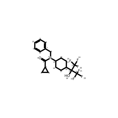 O=C(C1CC1)N(Cc1ccccc1)C1CCC(C(O)(C(F)(F)F)C(F)(F)F)CC1